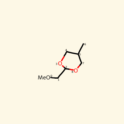 COCC1OCC(C)CO1